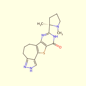 CN1CCC[C@]1(C)c1nc2c3c(sc2c(=O)[nH]1)-c1c[nH]nc1CCC3